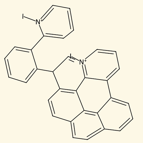 C=CC(c1ccccc1-c1cccc[n+]1I)c1ccc2ccc3cccc4c5ccc[n+](I)c5c1c2c34